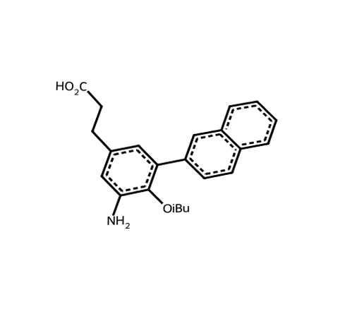 CC(C)COc1c(N)cc(CCC(=O)O)cc1-c1ccc2ccccc2c1